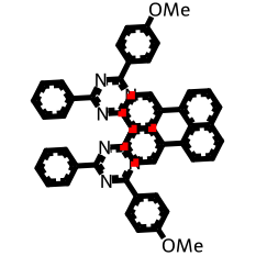 COc1ccc(-c2nc(-c3ccccc3)nc(-c3cccc(-c4cccc5cccc(-c6cccc(-c7nc(-c8ccccc8)nc(-c8ccc(OC)cc8)n7)c6)c45)c3)n2)cc1